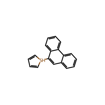 C1=C[SH](c2cc3ccccc3c3ccccc23)C=C1